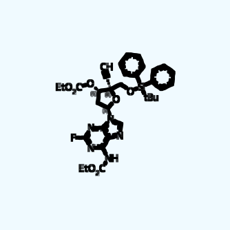 C#C[C@]1(CO[Si](c2ccccc2)(c2ccccc2)C(C)(C)C)O[C@@H](n2cnc3c(NC(=O)OCC)nc(F)nc32)C[C@@H]1OC(=O)OCC